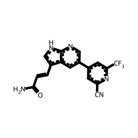 N#Cc1cc(-c2cnc3[nH]cc(/C=C/C(N)=O)c3c2)cc(C(F)(F)F)n1